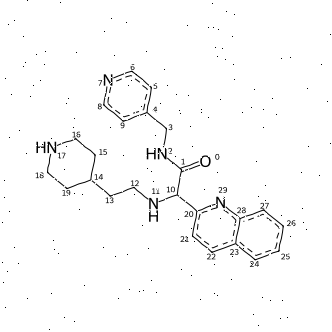 O=C(NCc1ccncc1)C(NCCC1CCNCC1)c1ccc2ccccc2n1